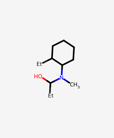 CCC1CCCCC1N(C)C(O)CC